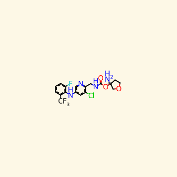 N[C@]1(OC(=O)NCc2ncc(Nc3c(F)cccc3C(F)(F)F)cc2Cl)CCOC1